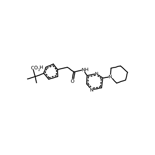 CC(C)(C(=O)O)c1ccc(CC(=O)Nc2cncc(N3CCCCC3)n2)cc1